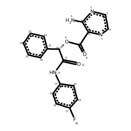 Nc1nccnc1C(=O)O[C@H](C(=O)Nc1ccc(F)cc1)c1ccccc1